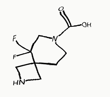 O=C(O)N1CCC2(CNC2)C(F)(F)C1